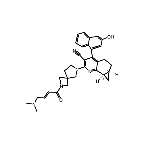 CN(C)CC=CC(=O)N1CC2(CCN(c3nc4c(c(-c5cc(O)cc6ccccc56)c3C#N)CC[C@H]3C[C@@H]43)C2)C1